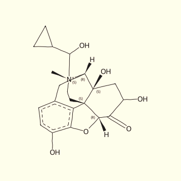 C[N@+]1(C(O)C2CC2)CC[C@]23c4c5ccc(O)c4O[C@H]2C(=O)C(O)C[C@@]3(O)[C@H]1C5